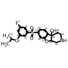 CC(C)Oc1cc(F)cc(S(=O)(=O)c2ccc3c(c2)OC2CNCCC32C)c1